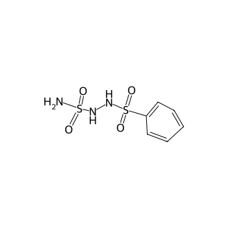 NS(=O)(=O)NNS(=O)(=O)c1ccccc1